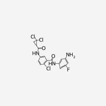 Nc1cc(F)cc(NC(=O)c2cc(NC(=O)C3CC3(Cl)Cl)ccc2Cl)c1